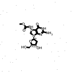 COC(=O)BN1CN([C@H]2C[C@H](O)[C@@H](CO)O2)c2nc(N)[nH]c(=O)c21